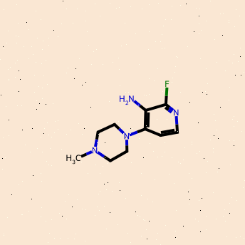 CN1CCN(c2ccnc(F)c2N)CC1